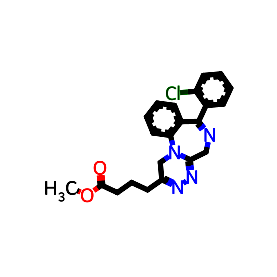 COC(=O)CCCC1=NN=C2CN=C(c3ccccc3Cl)c3ccccc3N2C1